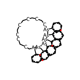 c1ccc([As]2CCCCCCCCCCCCC[As](c3ccccc3)[As](c3ccccc3)[As](c3ccccc3)[As](c3ccccc3)[As]2c2ccccc2)cc1